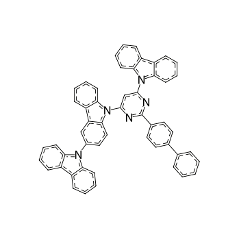 c1ccc(-c2ccc(-c3nc(-n4c5ccccc5c5ccccc54)cc(-n4c5ccccc5c5cc(-n6c7ccccc7c7ccccc76)ccc54)n3)cc2)cc1